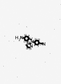 N#Cc1ccc(N(Cc2ccc(N)cc2)c2ncccn2)cc1